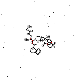 CC(C)(C)OC(=O)NCCCCN(C[C@@H]1CN(C[C@@](O)(NC(=O)C2CCC(F)(F)CC2)c2ccccc2)CCN1C(=O)OC(C)(C)C)[C@H]1CCCc2cccnc21